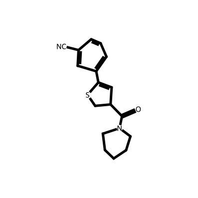 N#Cc1cccc(C2=CC(C(=O)N3CCCCC3)CS2)c1